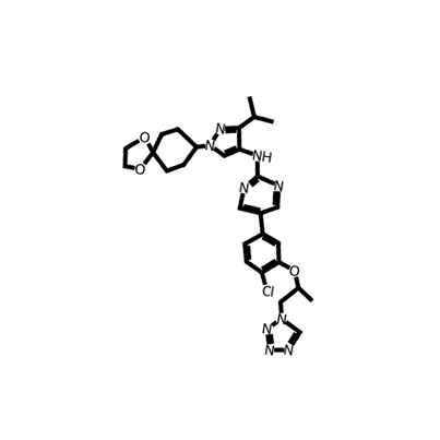 CC(Cn1cnnn1)Oc1cc(-c2cnc(Nc3cn(C4CCC5(CC4)OCCO5)nc3C(C)C)nc2)ccc1Cl